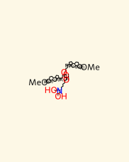 CO[C@@H]1CC[C@@]2(C)C(CCC3C2CC[C@@]2(C)C3CCC2[C@H](C)CCCOC(CC[C@@H](C)C2CCC3C4CCC5C[C@H](OC)CC[C@]5(C)C4CC[C@@]32C)O[Si](C)(C)OCCCCCCN(CCO)CCO)C1